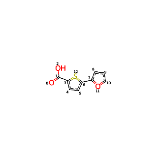 O=C(O)c1ccc(-c2ccco2)s1